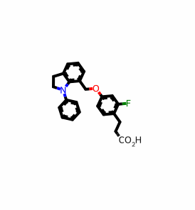 O=C(O)CCc1ccc(OCc2cccc3c2N(c2ccccc2)CC3)cc1F